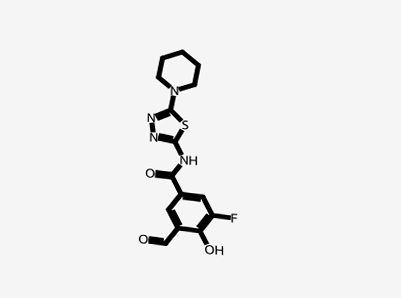 O=Cc1cc(C(=O)Nc2nnc(N3CCCCC3)s2)cc(F)c1O